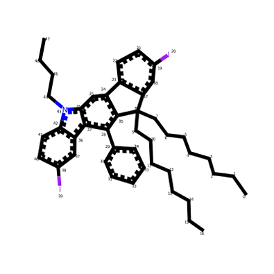 CCCCCCCCC1(CCCCCCCC)c2cc(I)ccc2-c2cc3c(c(-c4ccccc4)c21)c1cc(I)ccc1n3CCCC